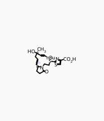 CCCCC#C[C@](C)(O)C/C=C/[C@H]1CCC(=O)N1CCSc1nc(C(=O)O)cs1